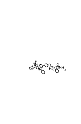 NC(=O)OC[C@@](O)(CCOc1ccc(-c2ccc(C(=O)NS(=O)(=O)CCCO)c(NC3CCCCC3)c2)cc1)c1ccccc1